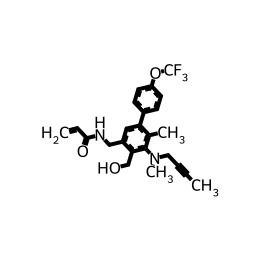 C=CC(=O)NCc1cc(-c2ccc(OC(F)(F)F)cc2)c(C)c(N(C)CC#CC)c1CO